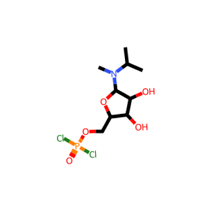 CC(C)N(C)C1OC(COP(=O)(Cl)Cl)C(O)C1O